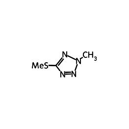 [CH2]Sc1nnn(C)n1